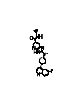 C[C@@H](c1nc2cc(C(=O)NC3CC3)cnc2[nH]1)[C@H]1CC[C@@H](c2ccnc3ccc(F)cc32)CC1